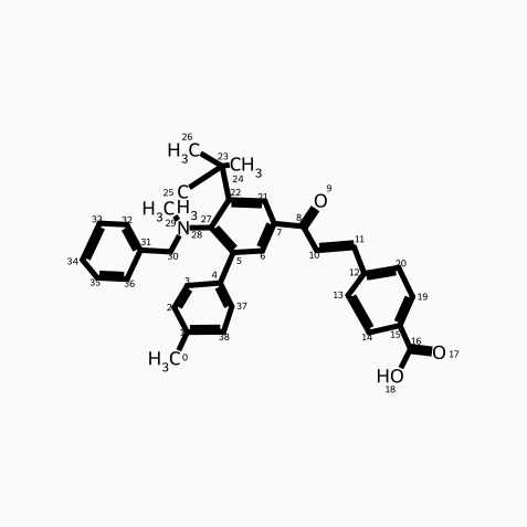 Cc1ccc(-c2cc(C(=O)/C=C/c3ccc(C(=O)O)cc3)cc(C(C)(C)C)c2N(C)Cc2ccccc2)cc1